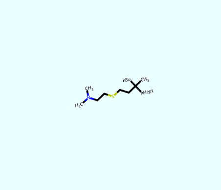 CCCCCCCC(C)(CCCC)CCSCCN(C)C